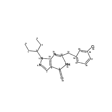 CCC(CC)n1ncc2c(=O)[nH]c(Cc3cccc(Cl)c3)nc21